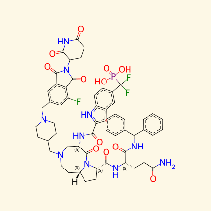 NC(=O)CC[C@H](NC(=O)[C@@H]1CC[C@@H]2CCN(CC3CCN(Cc4cc(F)c5c(c4)C(=O)N(C4CCC(=O)NC4=O)C5=O)CC3)C[C@H](NC(=O)c3cc4cc(C(F)(F)P(=O)(O)O)ccc4[nH]3)C(=O)N21)C(=O)NC(c1ccccc1)c1ccccc1